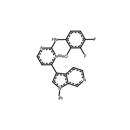 COc1c(Nc2nccc(-c3cn(C(C)C)c4cnccc34)n2)ccc(F)c1F